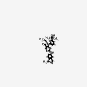 CCn1c(=O)c2cnc(Nc3ccc4c(cnn4C)c3)nc2n1-c1cccc(C(C)(C)O)n1